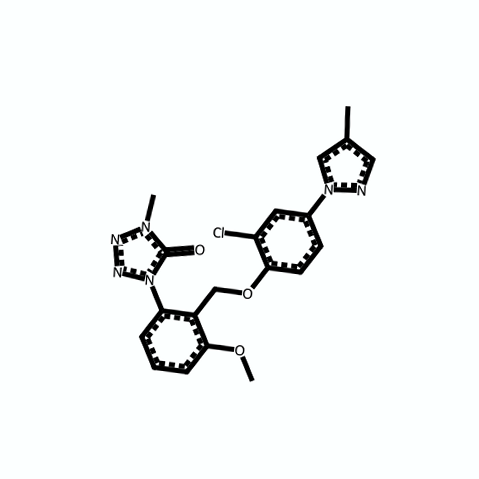 COc1cccc(-n2nnn(C)c2=O)c1COc1ccc(-n2cc(C)cn2)cc1Cl